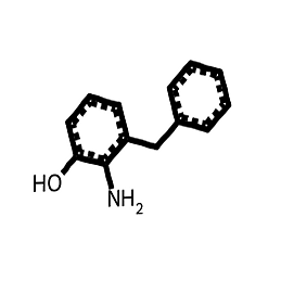 Nc1c(O)cccc1Cc1ccccc1